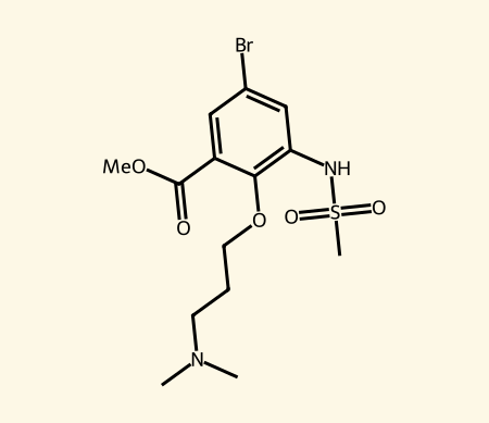 COC(=O)c1cc(Br)cc(NS(C)(=O)=O)c1OCCCN(C)C